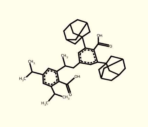 CC(C)c1cc(C(C)C)c(C(=O)O)c(C(C)Cc2cc(C34CC5CC(CC(C5)C3)C4)c(C(=O)O)c(C34CC5CC(CC(C5)C3)C4)c2)c1